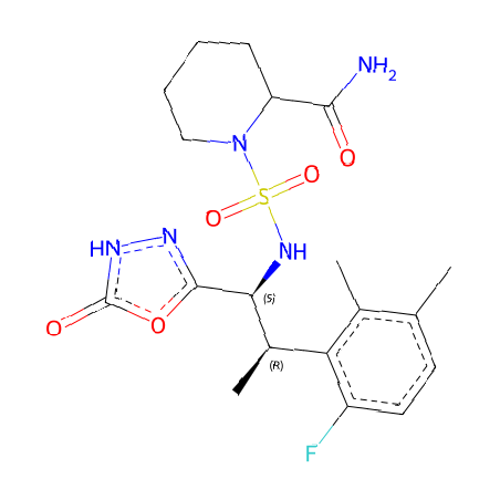 Cc1ccc(F)c([C@@H](C)[C@H](NS(=O)(=O)N2CCCCC2C(N)=O)c2n[nH]c(=O)o2)c1C